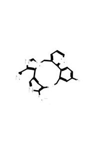 N#Cc1ncn2c1-c1cnc(N)c(c1)OCc1cc(F)ccc1-c1ncccc1C2